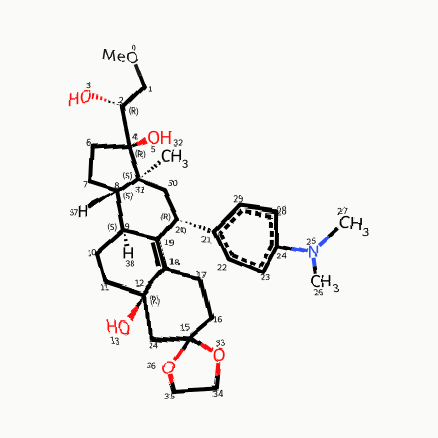 COC[C@@H](O)[C@@]1(O)CC[C@H]2[C@@H]3CC[C@@]4(O)CC5(CCC4=C3[C@@H](c3ccc(N(C)C)cc3)C[C@@]21C)OCCO5